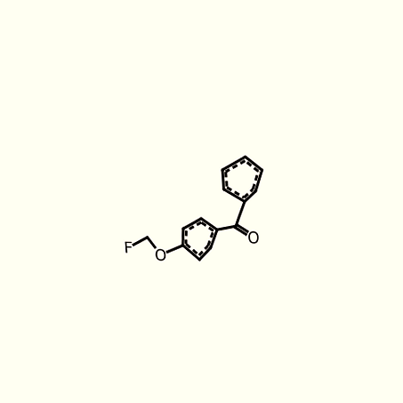 O=C(c1ccccc1)c1ccc(OCF)cc1